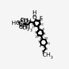 CCCC1CCC(c2ccc(-c3cc(F)c(O)c(CCC(C)(C)[Si](C)(C)O)c3)cc2)CC1